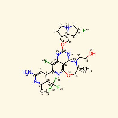 Cc1nc(N)cc(-c2nc3c4c(nc(OC[C@@]56CCCN5C[C@H](F)C6)nc4c2F)N(CCO)[C@@H](C)CO3)c1C(F)(F)F